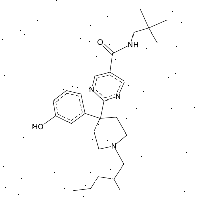 CCCC(C)CN1CCC(c2cccc(O)c2)(c2ncc(C(=O)NCC(C)(C)C)cn2)CC1